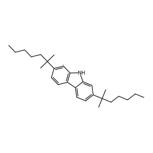 CCCCCC(C)(C)c1[c]c2[nH]c3cc(C(C)(C)CCCCC)ccc3c2cc1